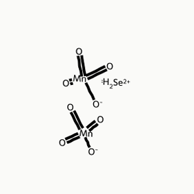 [O]=[Mn](=[O])(=[O])[O-].[O]=[Mn](=[O])(=[O])[O-].[SeH2+2]